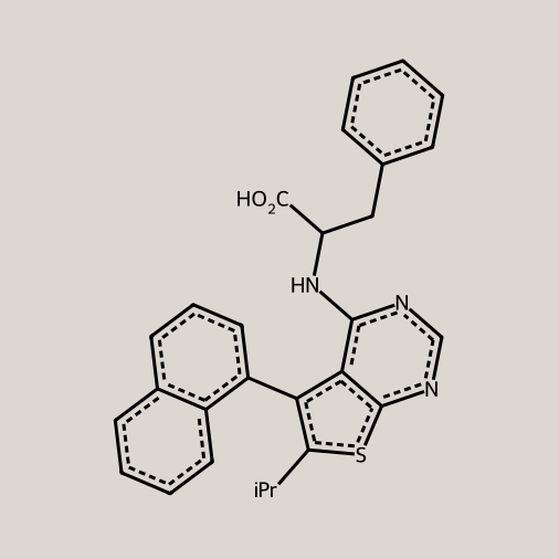 CC(C)c1sc2ncnc(NC(Cc3ccccc3)C(=O)O)c2c1-c1cccc2ccccc12